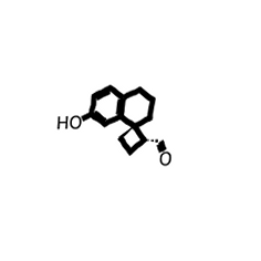 O=C[C@@H]1CC[C@@]12CCCc1ccc(O)cc12